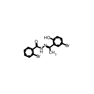 C/C(=N\NC(=O)c1ccccc1Br)c1cc(Br)ccc1O